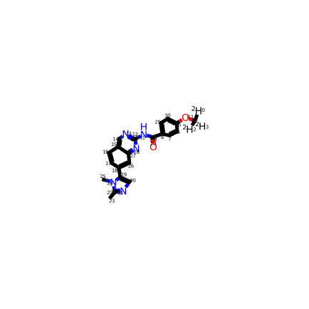 [2H]C([2H])([2H])Oc1ccc(C(=O)Nc2ncc3ccc(-c4cnc(C)n4C)cc3n2)cc1